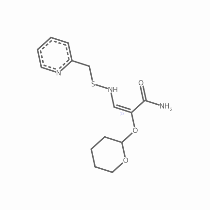 NC(=O)/C(=C\NSCc1ccccn1)OC1CCCCO1